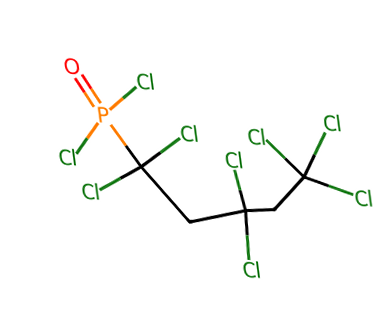 O=P(Cl)(Cl)C(Cl)(Cl)CC(Cl)(Cl)CC(Cl)(Cl)Cl